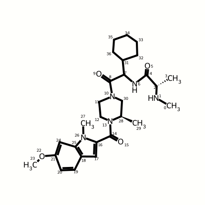 CN[C@@H](C)C(=O)NC(C(=O)N1CCN(C(=O)c2cc3ccc(OC)cc3n2C)[C@H](C)C1)C1CCCCC1